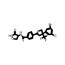 O=C1NOCC1NC(=S)c1ccc(C2=NCC(c3cc(Cl)cc(Br)c3)(C(F)(F)F)C2)cc1